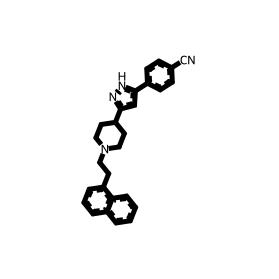 N#Cc1ccc(-c2cc(C3CCN(CCc4cccc5ccccc45)CC3)n[nH]2)cc1